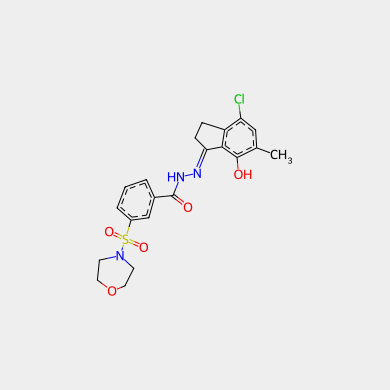 Cc1cc(Cl)c2c(c1O)/C(=N/NC(=O)c1cccc(S(=O)(=O)N3CCOCC3)c1)CC2